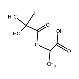 CC(OC(=O)C(C)(O)I)C(=O)O